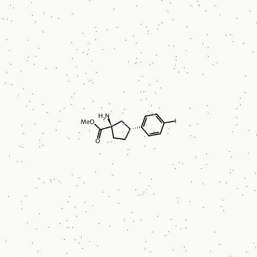 COC(=O)[C@@]1(N)CC[C@@H](c2ccc(I)cc2)C1